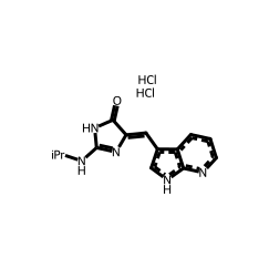 CC(C)NC1=NC(=Cc2c[nH]c3ncccc23)C(=O)N1.Cl.Cl